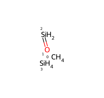 C.O=[SiH2].[SiH4]